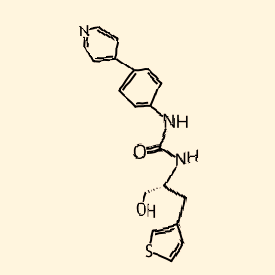 O=C(Nc1ccc(-c2ccncc2)cc1)N[C@@H](CO)Cc1ccsc1